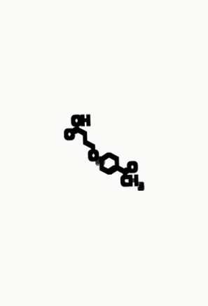 CC(=O)C1=CC[C@H](OCCCC(=O)O)CC1